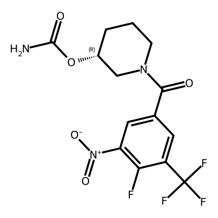 NC(=O)O[C@@H]1CCCN(C(=O)c2cc([N+](=O)[O-])c(F)c(C(F)(F)F)c2)C1